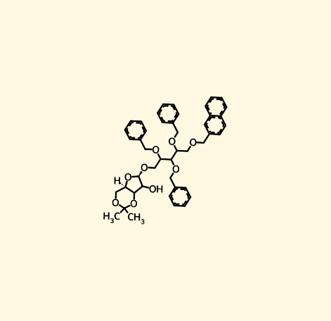 CC1(C)OC[C@H]2O[C@@H](OCC(OCc3ccccc3)C(OCc3ccccc3)C(COCc3ccc4ccccc4c3)OCc3ccccc3)C(O)C2O1